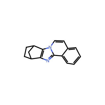 c1ccc2c(c1)ccn1c3c(nc21)C1CCC3C1